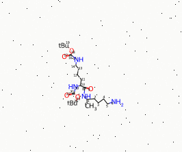 CC(CCCCN)NC(=O)C(CCCCNC(=O)OC(C)(C)C)NC(=O)OC(C)(C)C